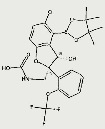 CC1(C)OB(c2c(Cl)ccc3c2[C@H](O)[C@@](CNC(=O)O)(c2ccccc2OC(F)(F)F)O3)OC1(C)C